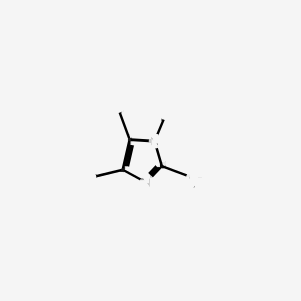 Cc1nc(C(F)(F)F)n(Cl)c1C